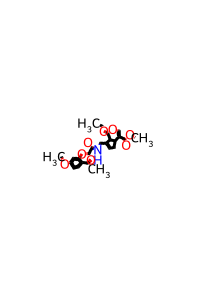 CCOC1OC=C(C(=O)OC)C2CC=C(CNC(=O)COc3cc(OC)ccc3C(C)=O)C12